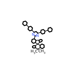 CC1(C)c2ccccc2C2(c3ccccc3-c3c(-c4nc(-c5ccc(-c6ccccc6)cc5)cc(-c5ccc(-c6ccccc6)cc5)n4)cccc32)c2ccccc21